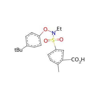 CCN(Oc1ccc(C(C)(C)C)cc1)S(=O)(=O)c1ccc(C)c(C(=O)O)c1